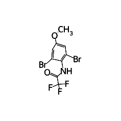 COc1cc(Br)c(NC(=O)C(F)(F)F)c(Br)c1